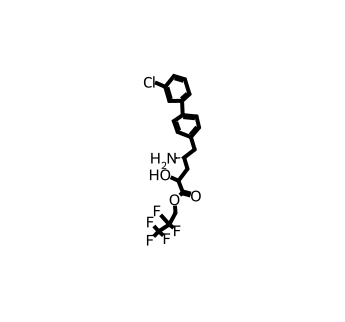 N[C@H](Cc1ccc(-c2cccc(Cl)c2)cc1)CC(O)C(=O)OCC(F)(F)C(F)(F)F